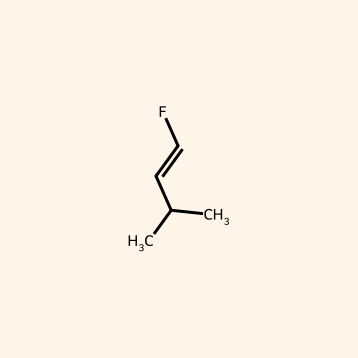 CC(C)C=CF